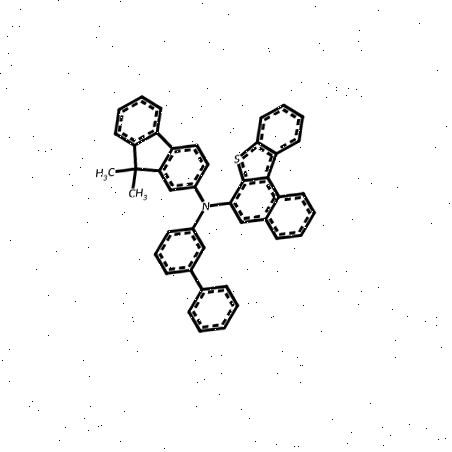 CC1(C)c2ccccc2-c2ccc(N(c3cccc(-c4ccccc4)c3)c3cc4ccccc4c4c3sc3ccccc34)cc21